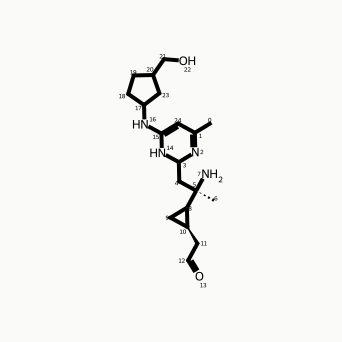 CC1=NC(C[C@@](C)(N)C2C[C@@H]2CC=O)NC(NC2CCC(CO)C2)=C1